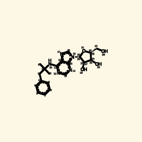 CC(C)(Cc1ccccc1)Nc1ncnc2c1ncn2[C@@H]1O[C@H](CO)[C@@H](O)[C@H]1O